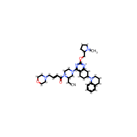 CN1CCCC1COc1nc2c(c(N3CCN(C(=O)C=CCN4CCOCC4)C(CC#N)C3)n1)CCC(N1CCCc3ccccc31)C2